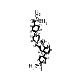 CNc1ccc(-c2ccnc3c2cc(CN2CCN(c4ccc(C(=O)N(C)C)cc4)CC2)n3C)cn1